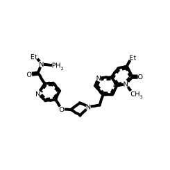 CCc1cc2ncc(CN3CC(Oc4ccc(C(=O)N(P)CC)nc4)C3)cc2n(C)c1=O